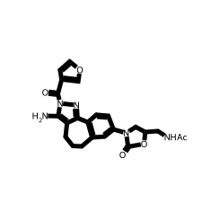 CC(=O)NCC1CN(c2ccc3c(c2)CCCc2c-3nn(C(=O)c3ccoc3)c2N)C(=O)O1